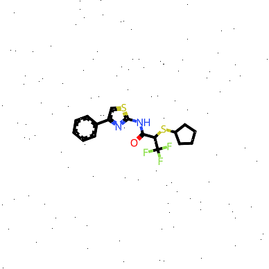 O=C(Nc1nc(-c2ccccc2)cs1)C(SC1CCCC1)C(F)(F)F